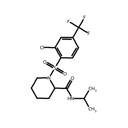 CC(C)NC(=O)C1CCCCN1S(=O)(=O)c1ccc(C(F)(F)F)cc1Cl